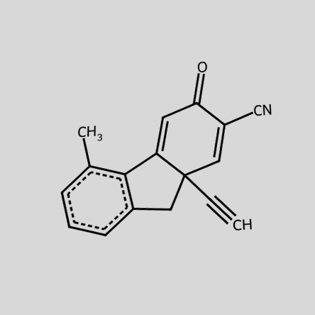 C#CC12C=C(C#N)C(=O)C=C1c1c(C)cccc1C2